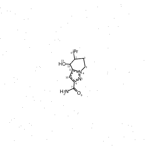 CC(C)C1CCn2nc(C(N)=O)cc2C1O